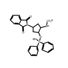 CC(C)(C)[Si](OC1CC(N2C(=O)c3ccccc3C2=O)CC1NC(=O)O)(c1ccccc1)c1ccccc1